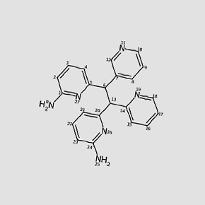 Nc1cccc(C(c2cccnc2)C(c2ccccn2)c2cccc(N)n2)n1